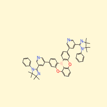 CC1(C)N=C(c2cncc(-c3ccc4c(c3)Oc3cccc5c3B4c3ccc(-c4cncc(C6=NC(C)(C)C(C)(C)N6c6ccccc6)c4)cc3O5)c2)N(c2ccccc2)C1(C)C